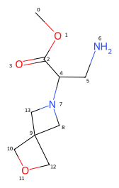 COC(=O)C(CN)N1CC2(COC2)C1